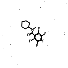 CN(C(=O)c1c(F)c(F)c(F)c(F)c1F)C1CCCCC1